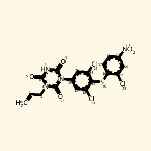 C=CCn1c(=O)[nH]c(=O)n(-c2cc(Cl)c(Sc3ccc([N+](=O)[O-])cc3Cl)c(Cl)c2)c1=O